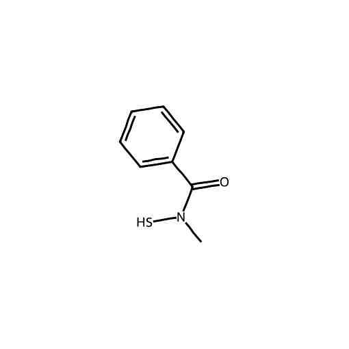 CN(S)C(=O)c1ccccc1